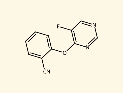 N#Cc1ccccc1Oc1ncn[c]c1F